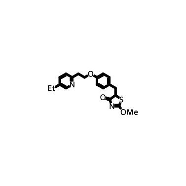 CCc1ccc(CCOc2ccc(CC3SC(OC)=NC3=O)cc2)nc1